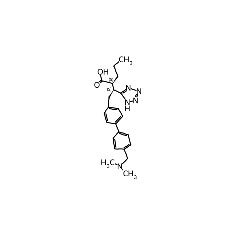 CCC[C@H](C(=O)O)[C@H](Cc1ccc(-c2ccc(CN(C)C)cc2)cc1)c1nnn[nH]1